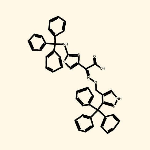 O=C(O)C(=NOCc1c[nH]nc1C(c1ccccc1)(c1ccccc1)c1ccccc1)c1csc(NC(c2ccccc2)(c2ccccc2)c2ccccc2)n1